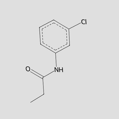 CCC(=O)Nc1cccc(Cl)c1